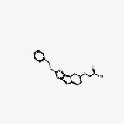 O=C(O)COC1=CC=C2C=c3sc(SCc4ccccc4)nc3=C2C1